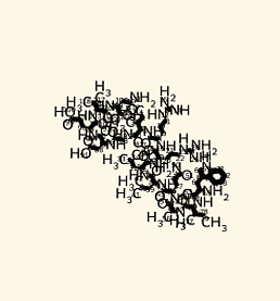 CC[C@H](C)[C@H](NC(=O)[C@H](CCCNC(=N)N)NC(=O)[C@H](CCCNC(=N)N)NC(=O)[C@H](CC(C)C)NC(=O)[C@H](CC(C)C)NC(=O)[C@H](CCC(N)=O)NC(=O)[C@H](C)NC(=O)[C@@H](NC(=O)[C@@H](N)Cc1c[nH]c2ccccc12)[C@@H](C)CC)C(=O)NCC(=O)N[C@@H](CC(=O)O)C(=O)N[C@@H](CCC(=O)O)C(=O)N[C@H](C(=O)N[C@@H](CC(N)=O)C(=O)O)C(C)C